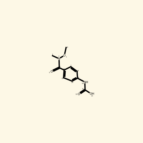 CON(C)C(=O)c1ccc(NC(=O)O)cc1